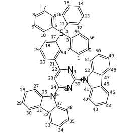 c1ccc(S(c2ccccc2)(c2ccccc2)c2cccc(-c3cc(-n4c5ccccc5c5ccccc54)nc(-n4c5ccccc5c5ccccc54)n3)c2)cc1